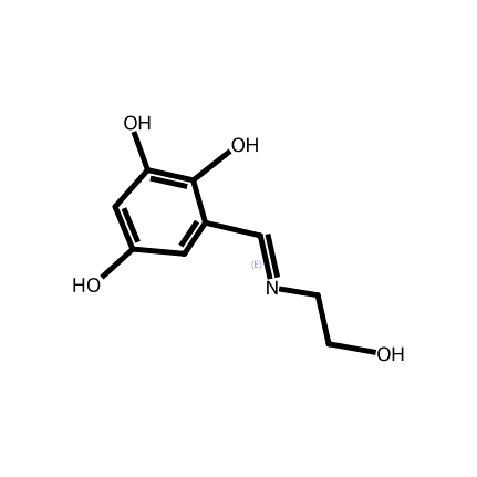 OCC/N=C/c1cc(O)cc(O)c1O